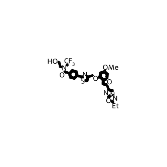 CCc1nn2cc(-c3cc4c(OCc5csc(-c6ccc(C(=O)N(CCO)CC(F)(F)F)cc6)n5)cc(OC)cc4o3)nc2o1